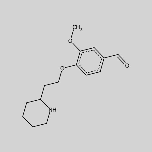 COc1cc(C=O)ccc1OCCC1CCCCN1